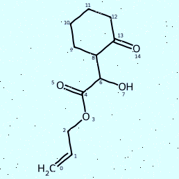 C=CCOC(=O)C(O)C1CCCCC1=O